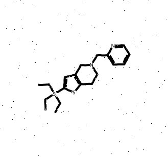 CC[Si](CC)(CC)c1cc2c(s1)CCN(Cc1ccccn1)C2